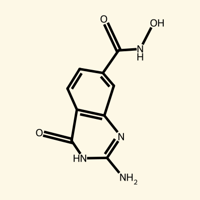 Nc1nc2cc(C(=O)NO)ccc2c(=O)[nH]1